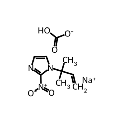 C=CC(C)(C)n1ccnc1[N+](=O)[O-].O=C([O-])O.[Na+]